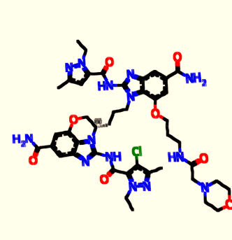 CCn1nc(C)cc1C(=O)Nc1nc2cc(C(N)=O)cc(OCCCNC(=O)CN3CCOCC3)c2n1CCC[C@H]1COc2cc(C(N)=O)cc3nc(NC(=O)c4c(Cl)c(C)nn4CC)n1c23